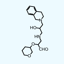 O=CC(CNCC(O)CN1CCc2ccccc2C1)OC1CCCOC1